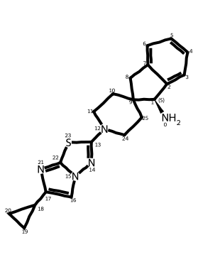 N[C@@H]1c2ccccc2CC12CCN(c1nn3cc(C4CC4)nc3s1)CC2